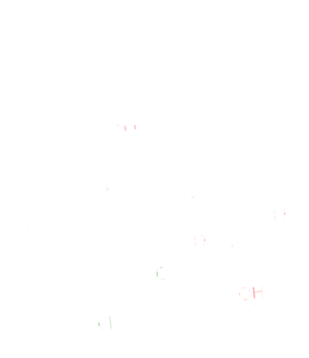 O=C(O)OC1=Cc2ccccc2OC1c1cccc(Cl)c1Cl